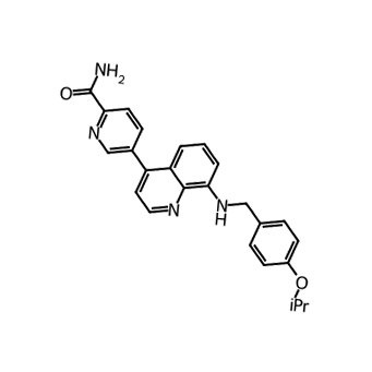 CC(C)Oc1ccc(CNc2cccc3c(-c4ccc(C(N)=O)nc4)ccnc23)cc1